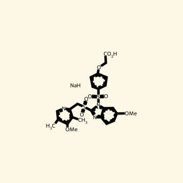 COc1ccc2nc(S(=O)(=O)Cc3ncc(C)c(OC)c3C)n(S(=O)(=O)c3ccc(OCC(=O)O)cc3)c2c1.[NaH]